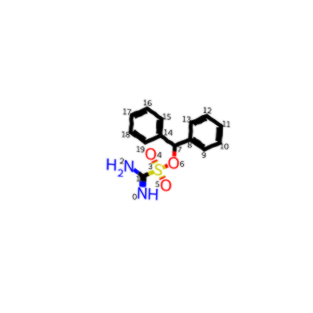 N=C(N)S(=O)(=O)OC(c1ccccc1)c1ccccc1